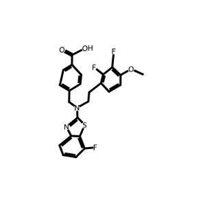 COc1ccc(CCN(Cc2ccc(C(=O)O)cc2)c2nc3cccc(F)c3s2)c(F)c1F